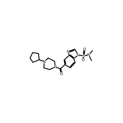 CN(C)S(=O)(=O)n1cnc2cc(C(=O)N3CCN(C4CCCC4)CC3)ccc21